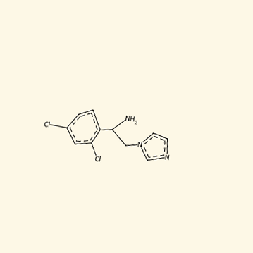 NC(Cn1ccnc1)c1ccc(Cl)cc1Cl